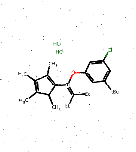 CC[C](CC)=[Ti]([O]c1cc(Cl)cc(C(C)(C)C)c1)[C]1=C(C)C(C)=C(C)C1C.Cl.Cl